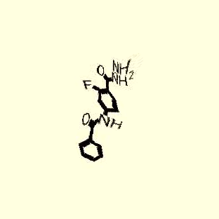 NNC(=O)c1ccc(NC(=O)c2ccccc2)cc1F